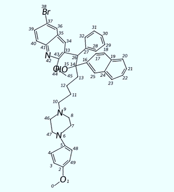 COc1ccc(N2CCN(CCCCC(O)(c3ccc4ccccc4c3)C(c3ccccc3)c3cc4cc(Br)ccc4nc3OC)CC2)cc1